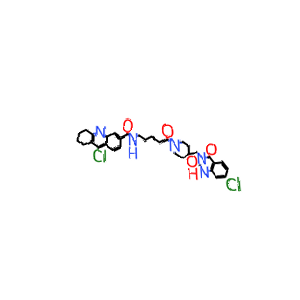 O=C(NCCCCC(=O)N1CCC(O)(Cn2cnc3cc(Cl)ccc3c2=O)CC1)c1ccc2c(Cl)c3c(nc2c1)CCCC3